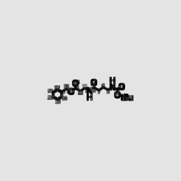 CC(C)(C)OC(=O)NCCCC(=O)NCCC(=O)OCc1ccccc1